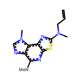 C=CCN(C)c1nc2c(nc(NC)c3ncn(C)c32)s1